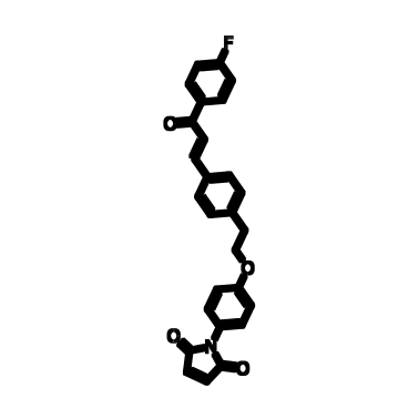 O=C(C=Cc1ccc(CCOc2ccc(N3C(=O)C=CC3=O)cc2)cc1)c1ccc(F)cc1